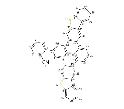 N#Cc1ccccc1-c1ccc(-c2c(-c3ccc4sc5ccccc5c4c3)cccc2-c2ccc3sc4ccccc4c3c2)cc1